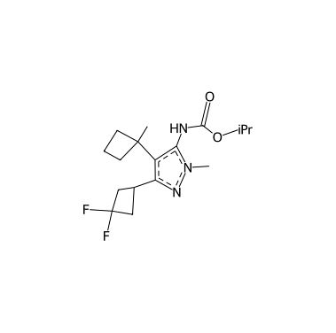 CC(C)OC(=O)Nc1c(C2(C)CCC2)c(C2CC(F)(F)C2)nn1C